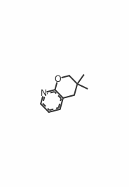 CC1(C)COc2ncccc2C1